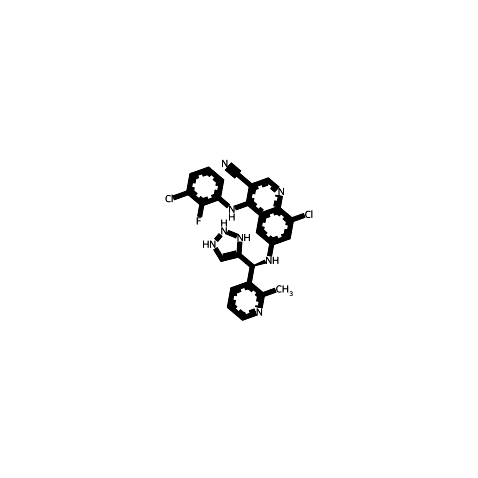 Cc1ncccc1[C@H](Nc1cc(Cl)c2ncc(C#N)c(Nc3cccc(Cl)c3F)c2c1)C1=CNNN1